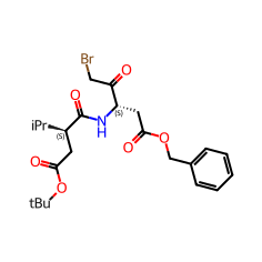 CC(C)[C@H](CC(=O)OC(C)(C)C)C(=O)N[C@@H](CC(=O)OCc1ccccc1)C(=O)CBr